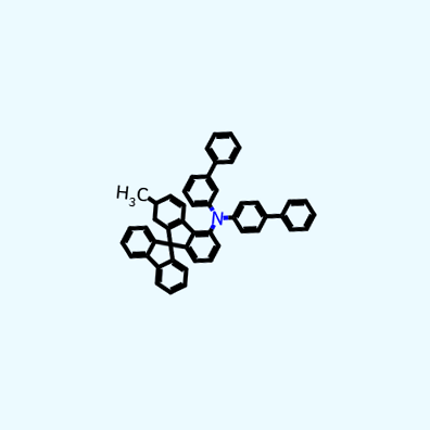 CC1C=CC2=C(C1)C1(c3ccccc3-c3ccccc31)c1cccc(N(c3ccc(-c4ccccc4)cc3)c3cccc(-c4ccccc4)c3)c12